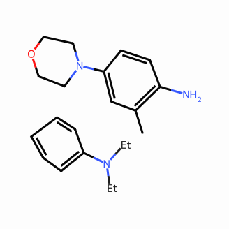 CCN(CC)c1ccccc1.Cc1cc(N2CCOCC2)ccc1N